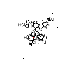 CC1=CC(C)[C]([Zr](=[CH]c2ccc(Cl)cc2)(=[CH]c2ccc(Cl)cc2)[c]2cc(C(C)(C)C)cc3c2Cc2ccc(C(C)(C)C)cc2-3)=C1C.Cl.Cl